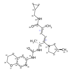 C/C(=C\C=C(/[C@@H](C)NC(=O)Nc1cc2c(cn1)OCCC2)N1CC[C@H](C)C1)C(=O)NCC1CC1